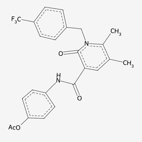 CC(=O)Oc1ccc(NC(=O)c2cc(C)c(C)n(Cc3ccc(C(F)(F)F)cc3)c2=O)cc1